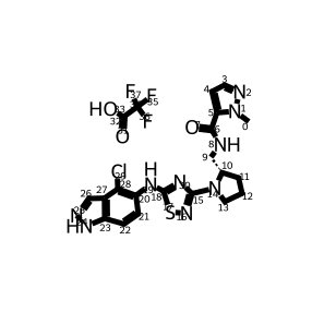 Cn1nccc1C(=O)NC[C@@H]1CCCN1c1nsc(Nc2ccc3[nH]ncc3c2Cl)n1.O=C(O)C(F)(F)F